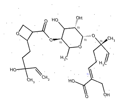 C=CC(C)(O)CCC1OCC1C(=O)O[C@@H]1C(C)O[C@@H](O[C@](C)(C=C)CC/C=C(\CO)C(=O)O)[C@@H](O)C1O